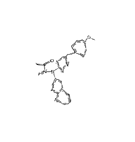 COc1ccc(-c2cnc(N(NC(C)=O)c3ccc4ncccc4c3)nn2)cc1